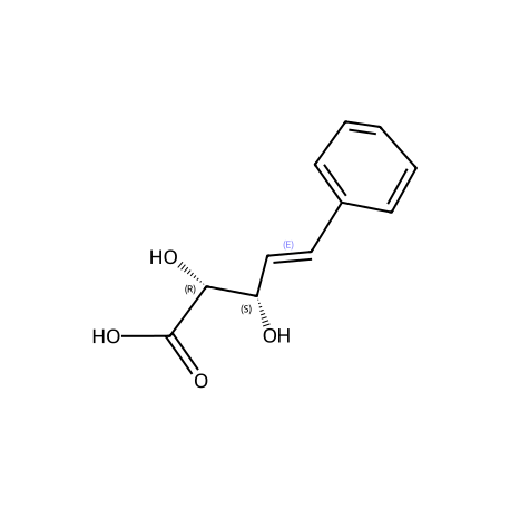 O=C(O)[C@H](O)[C@@H](O)/C=C/c1ccccc1